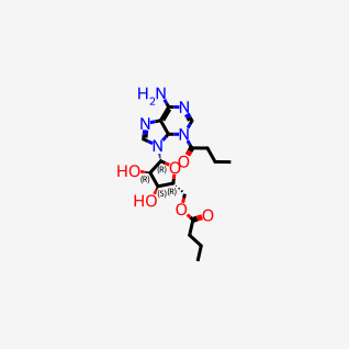 CCCC(=O)OC[C@H]1O[C@@H](N2C=NC3=C(N)N=CN(C(=O)CCC)C32)[C@H](O)[C@@H]1O